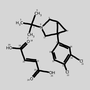 CC(C)(C)N1CC2CC2(c2ccc(Cl)c(Cl)c2)C1.O=C(O)C=CC(=O)O